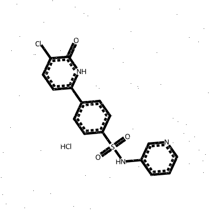 Cl.O=c1[nH]c(-c2ccc(S(=O)(=O)Nc3cccnc3)cc2)ccc1Cl